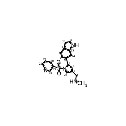 CNCc1cc(-c2ccc3cc[nH]c3c2)n(S(=O)(=O)c2cccnc2)c1